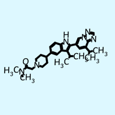 CC(C)c1c(-c2cc(C(C)C)c3ncnn3c2)[nH]c2ccc(C3CCN(CC(=O)N(C)C)CC3)cc12